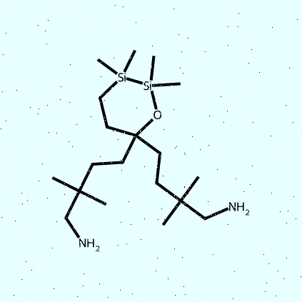 CC(C)(CN)CCC1(CCC(C)(C)CN)CC[Si](C)(C)[Si](C)(C)O1